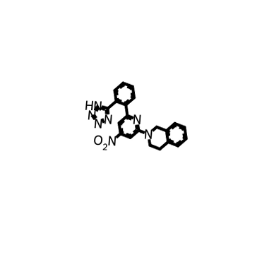 O=[N+]([O-])c1cc(-c2ccccc2-c2nnn[nH]2)nc(N2CCc3ccccc3C2)c1